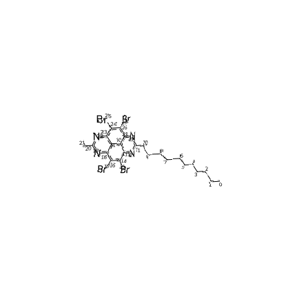 CCCCCCCCCCCc1nc2c(Br)c(Br)c3nc(C)nc4c(Br)c(Br)c(n1)c2c34